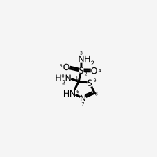 NC1(S(N)(=O)=O)NN=CS1